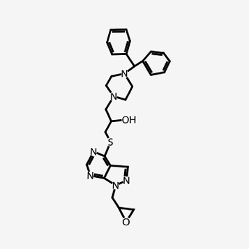 OC(CSc1ncnc2c1cnn2CC1CO1)CN1CCN(C(c2ccccc2)c2ccccc2)CC1